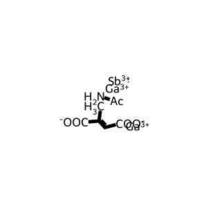 C/C(=C\C(=O)[O-])C(=O)[O-].CC(N)=O.[Ga+3].[Ga+3].[Sb+3]